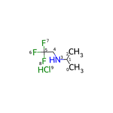 CC(C)NCC(F)(F)F.Cl